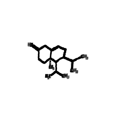 CC(C)C1CC=C2CC(=N)CC[C@]2(C)C1C(C)C